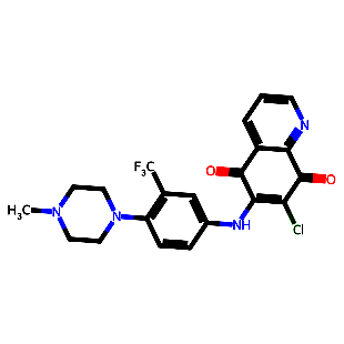 CN1CCN(c2ccc(NC3=C(Cl)C(=O)c4ncccc4C3=O)cc2C(F)(F)F)CC1